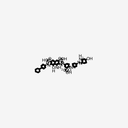 Nc1cc(O)ccc1N=Nc1ccc(Nc2ccc(N=Nc3c(S(=O)(=O)O)cc4cc(S(=O)(=O)O)c(N=Nc5ccc(C6CCCCC6)cc5)c(O)c4c3N)cc2S(=O)(=O)O)cc1